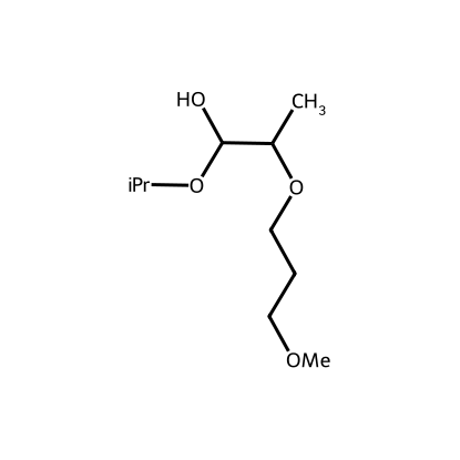 COCCCOC(C)C(O)OC(C)C